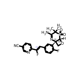 CC1(C)C(N)=N[C@@]2(c3cc(/C=C(\F)c4ccc(C#N)cn4)ccc3F)CO[C@H]2S1(=O)=O